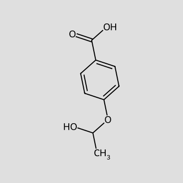 CC(O)Oc1ccc(C(=O)O)cc1